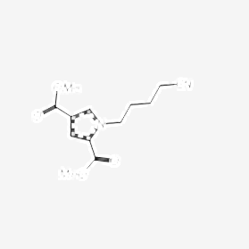 COC(=O)c1cc(C(=O)OC)n(CCCCC#N)c1